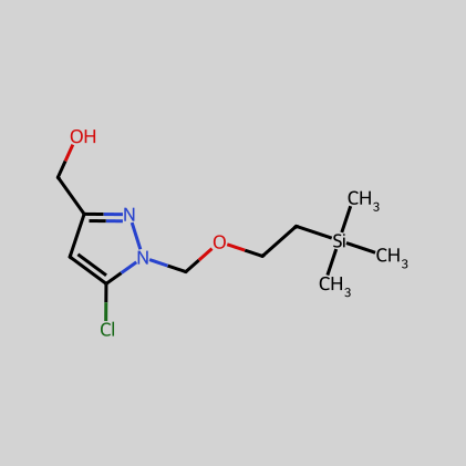 C[Si](C)(C)CCOCn1nc(CO)cc1Cl